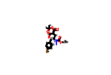 CC(C)(C)OC(=O)N[C@H](Cc1ccc(Br)cc1)CC1C(=O)OC(C)(C)OC1=O